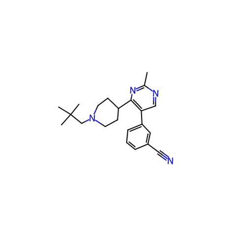 Cc1ncc(-c2cccc(C#N)c2)c(C2CCN(CC(C)(C)C)CC2)n1